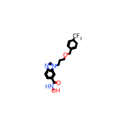 O=C(NO)c1ccc2ncn(CCCOCC3=CCC(C(F)(F)F)C=C3)c2c1